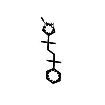 Cn1cc(C(C)(C)CCC(C)(C)c2ccccc2)cn1